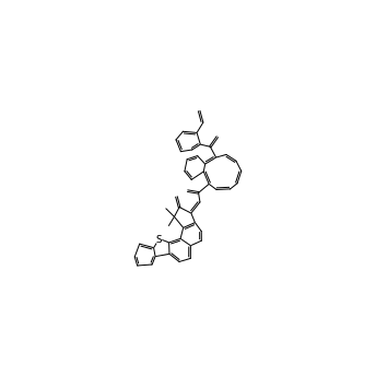 C=Cc1ccccc1C(=C)c1ccccccc(C(=C)/C=C2\C(=C)C(C)(C)c3c2ccc2ccc4c5ccccc5sc4c32)c2ccccc12